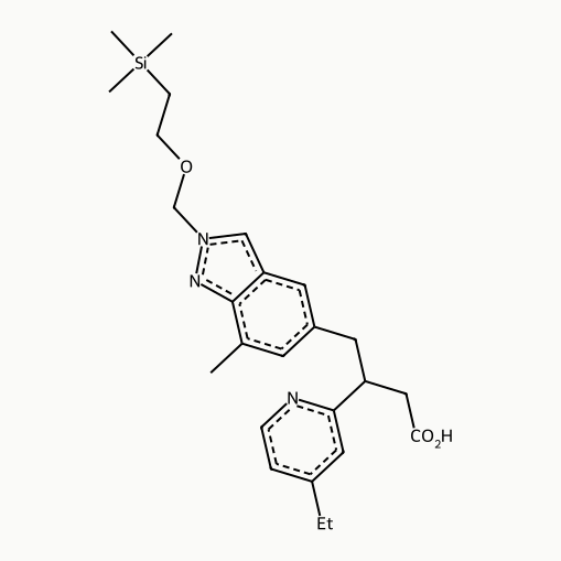 CCc1ccnc(C(CC(=O)O)Cc2cc(C)c3nn(COCC[Si](C)(C)C)cc3c2)c1